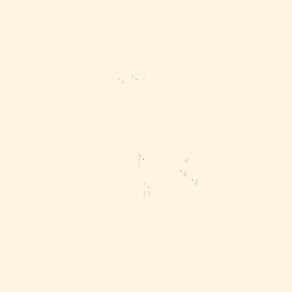 CCCn1nccc1C(=O)NC(C(=O)Nc1ccc(-c2c(CC)n[nH]c2CC)cc1)C(C1CC1)C1CC1